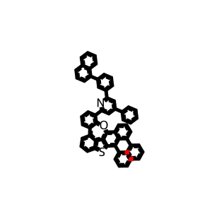 c1ccc(-c2cc(-c3cccc(-c4cccc5ccccc45)c3)nc(-c3cccc4c3oc3c5cccc(-c6ccccc6)c5c(-c5ccccc5)c5sc6cccc4c6c53)c2)cc1